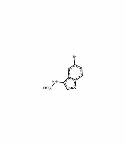 CCOC(=O)Nc1csc2ccc(Br)cc12